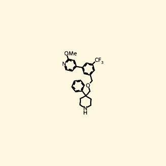 COc1cc(-c2cc(COCC3(c4ccccc4)CCNCC3)cc(C(F)(F)F)c2)ccn1